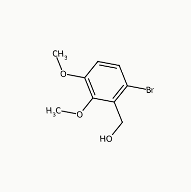 COc1ccc(Br)c(CO)c1OC